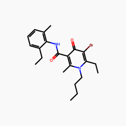 CCCCn1c(C)c(C(=O)Nc2c(C)cccc2CC)c(=O)c(Br)c1CC